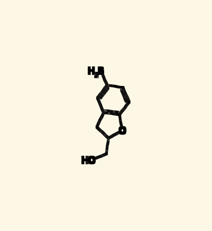 Bc1ccc2c(c1)CC(CO)O2